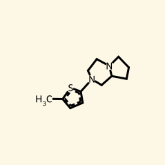 Cc1ccc(N2CCN3CCCC3C2)s1